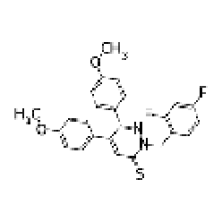 COc1ccc(-c2cc(=S)n(Cc3ccc(F)cc3F)nc2-c2ccc(OC)cc2)cc1